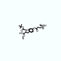 CCOC(O)C(Cc1ccc(OC(=O)CCS(=O)(=O)O)cc1)NC(=O)OC(C)(C)C